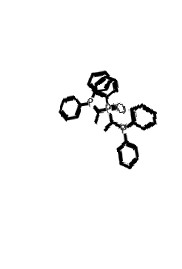 CC(P(c1ccccc1)c1ccccc1)P(=O)(c1ccccc1)C(C)P(c1ccccc1)c1ccccc1